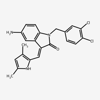 Cc1cc(C)c(C=C2C(=O)N(Cc3ccc(Cl)c(Cl)c3)c3ccc(N)cc32)[nH]1